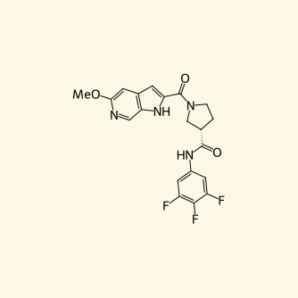 COc1cc2cc(C(=O)N3CC[C@H](C(=O)Nc4cc(F)c(F)c(F)c4)C3)[nH]c2cn1